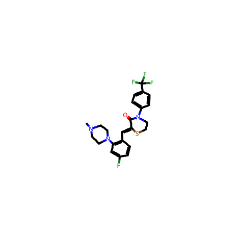 CN1CCN(c2cc(F)ccc2/C=C2\SCCN(c3ccc(C(F)(F)F)cc3)C2=O)CC1